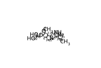 COc1cc2c(cc1OC[C@H](O)CO)CCN1CC(c3cc(C)ccn3)C(N)CC21